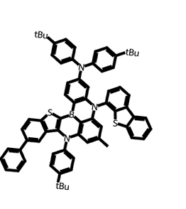 Cc1cc2c3c(c1)N(c1cccc4c1sc1ccccc14)c1cc(N(c4ccc(C(C)(C)C)cc4)c4ccc(C(C)(C)C)cc4)ccc1B3c1sc3ccc(-c4ccccc4)cc3c1N2c1ccc(C(C)(C)C)cc1